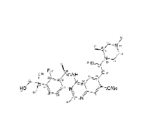 COc1cc2nc(C)nc(N[C@H](C)c3cccc(C(F)(F)CO)c3F)c2cc1OC(=O)N1CCN(C)C[C@@H]1C